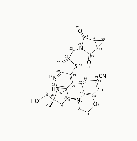 C[C@]1(CO)C[C@H](N2CCOc3cc(C#N)cc(-c4ccnc5cc(CN6C(=O)C7CC7C6=O)sc45)c32)CN1